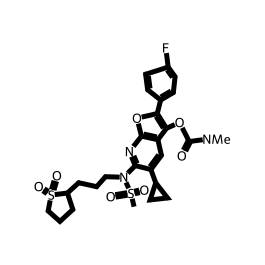 CNC(=O)Oc1c(-c2ccc(F)cc2)oc2nc(N(CCCC3CCCS3(=O)=O)S(C)(=O)=O)c(C3CC3)cc12